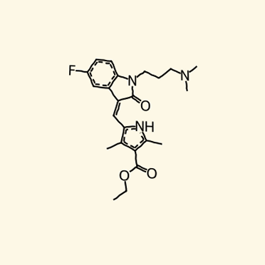 CCOC(=O)c1c(C)[nH]c(/C=C2\C(=O)N(CCCN(C)C)c3ccc(F)cc32)c1C